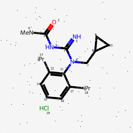 CNC(=O)NC(=N)N(CC1CC1)c1c(C(C)C)cccc1C(C)C.Cl